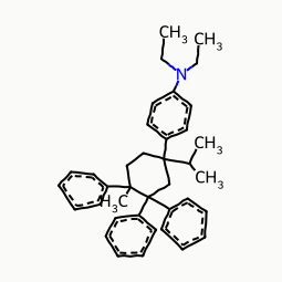 CCN(CC)c1ccc(C2(C(C)C)CCC(C)(c3ccccc3)C(c3ccccc3)(c3ccccc3)C2)cc1